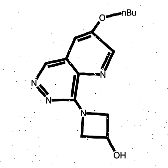 CCCCOc1cnc2c(N3CC(O)C3)nncc2c1